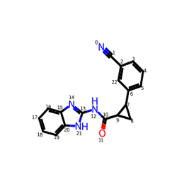 N#Cc1cccc(C2CC2C(=O)Nc2nc3ccccc3[nH]2)c1